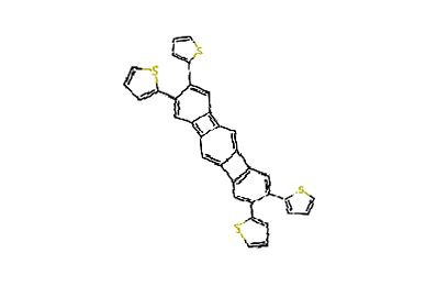 c1csc(-c2cc3c(cc2-c2cccs2)c2cc4c5cc(-c6cccs6)c(-c6cccs6)cc5c4cc32)c1